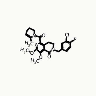 COc1nc(C(=O)N2CCCC=C2C)c2c(c1OC)C(=O)N(Cc1ccc(F)c(Cl)c1)CC2